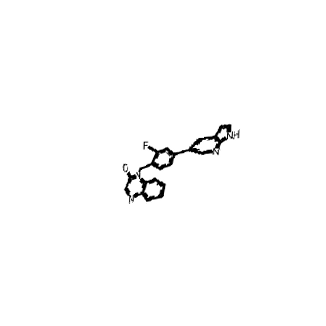 O=c1cnc2ccccc2n1Cc1ccc(-c2cnc3[nH]ccc3c2)cc1F